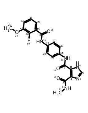 CNC(=O)c1nc[nH]c1C(=O)Nc1ccc(NC(=O)c2cccc(OC)c2F)cc1